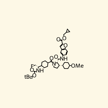 COC1CCC([C@@H]2CCN(C(=O)C3CCC([C@@H](CF)NC(=O)OC(C)(C)C)CC3)[C@@H]2C(=O)Nc2ccc3oc(C(=O)OCC4CC4)cc3c2)CC1